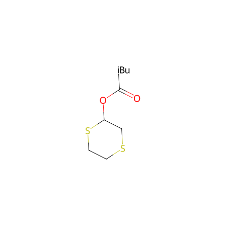 CCC(C)C(=O)OC1CSCCS1